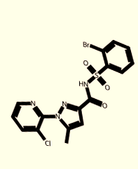 Cc1cc(C(=O)NS(=O)(=O)c2ccccc2Br)nn1-c1ncccc1Cl